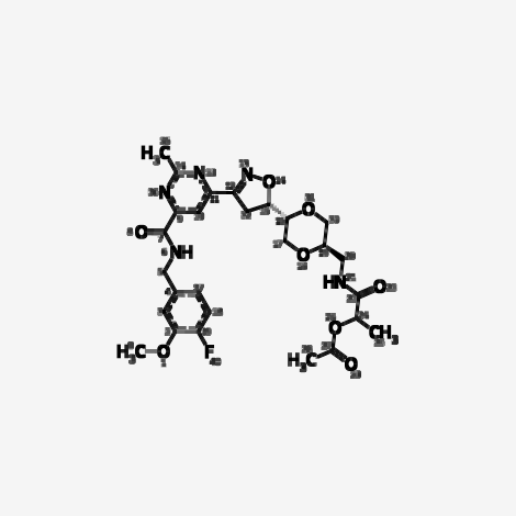 COc1cc(CNC(=O)c2cc(C3=NOC([C@H]4CO[C@H](CNC(=O)C(C)OC(C)=O)CO4)C3)nc(C)n2)ccc1F